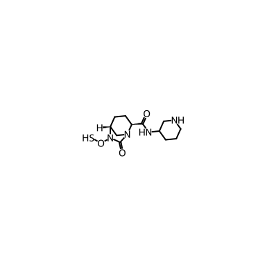 O=C(NC1CCCNC1)[C@@H]1CC[C@@H]2CN1C(=O)N2OS